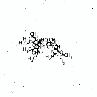 CCOC(=O)C(CC(C)C)NP(=O)(NC(CC(C)C)C(=O)OCC)OC[C@H]1O[C@@H](n2cnc3c(OC(C)C)nc(N)nc32)C(C)(O)C1O